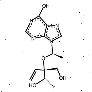 C=C[C@](CO)(O[C@H](C)n1cnc2c(O)ncnc21)[C@H](C)O